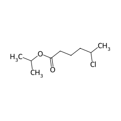 CC(Cl)CCCC(=O)OC(C)C